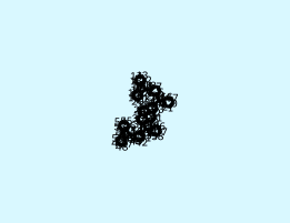 c1ccc(N(c2cccc(-n3c4ccccc4c4ccccc43)c2)c2cc3ccc4ccc(N(c5ccccc5)c5cccc(-n6c7ccccc7c7ccccc76)c5)c5ccc(c2)c3c45)cc1